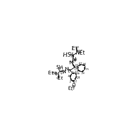 CCOc1ccc(C(=N\N=C(/S)N(CC)CC)/C(=N/N=C(\S)N(CC)CC)c2ccccc2)cc1